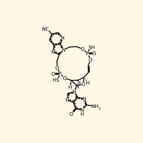 N#Cc1cnc2c(c1)nc1n2CCOP(=O)(S)O/C=C/[C@H]2O[C@@H](n3cnc4c(=O)[nH]c(N)nc43)[C@H](OP(=O)(S)OC1)[C@@H]2F